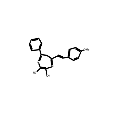 COc1ccc(C=CC2=NC(C#N)=C(C#N)N=C(c3ccccc3)C2)cc1